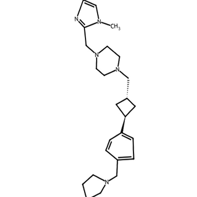 Cn1ccnc1CN1CCN(C[C@H]2C[C@H](c3ccc(CN4CCCC4)cc3)C2)CC1